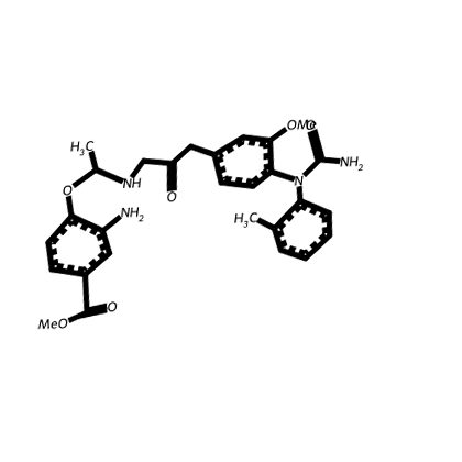 COC(=O)c1ccc(OC(C)NCC(=O)Cc2ccc(N(C(N)=O)c3ccccc3C)c(OC)c2)c(N)c1